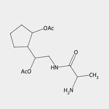 CC(=O)OC1CCCC1C(CNC(=O)C(C)N)OC(C)=O